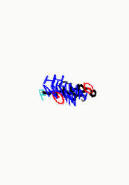 Cc1c(NC(=O)NCCF)cn2ncc(C#N)c(Nc3ccc(Oc4ccccc4)cc3)c12